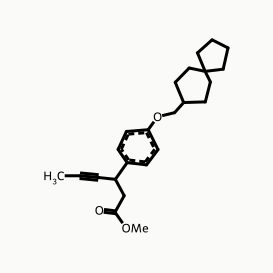 CC#CC(CC(=O)OC)c1ccc(OCC2CCC3(CCCC3)CC2)cc1